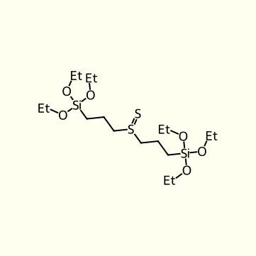 CCO[Si](CCCS(=S)CCC[Si](OCC)(OCC)OCC)(OCC)OCC